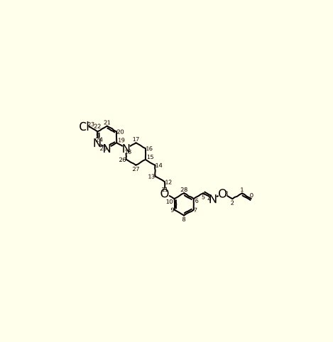 C=CCON=Cc1cccc(OCCCC2CCN(c3ccc(Cl)nn3)CC2)c1